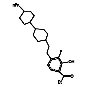 CCCC1CCC(C2CCC(CCc3ccc(C(=O)CC)c(O)c3F)CC2)CC1